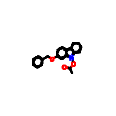 CC(=O)On1c2ccccc2c2ccc(OCc3ccccc3)cc21